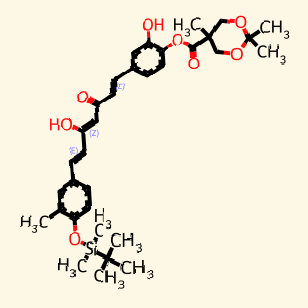 Cc1cc(/C=C/C(O)=C/C(=O)/C=C/c2ccc(OC(=O)C3(C)COC(C)(C)OC3)c(O)c2)ccc1O[Si](C)(C)C(C)(C)C